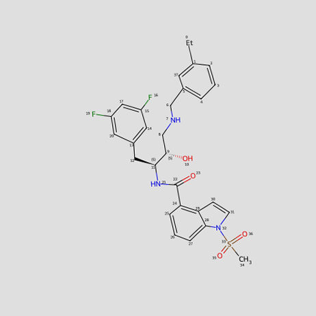 CCc1cccc(CNC[C@H](O)[C@H](Cc2cc(F)cc(F)c2)NC(=O)c2cccc3c2ccn3S(C)(=O)=O)c1